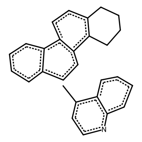 Cc1ccnc2ccccc12.c1ccc2c(c1)ccc1c3c(ccc12)CCCC3